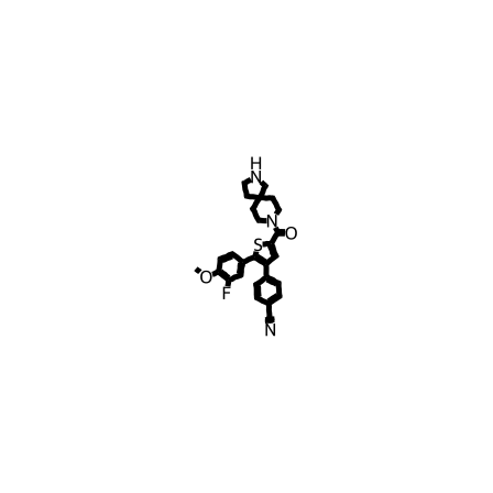 COc1ccc(-c2sc(C(=O)N3CCC4(CCNC4)CC3)cc2-c2ccc(C#N)cc2)cc1F